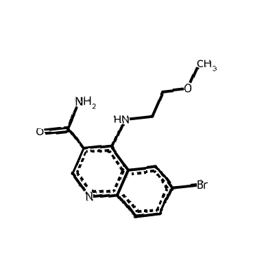 COCCNc1c(C(N)=O)cnc2ccc(Br)cc12